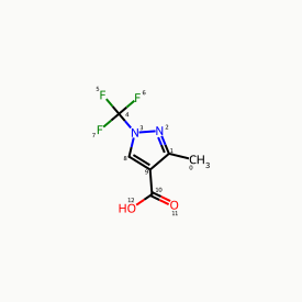 Cc1nn(C(F)(F)F)cc1C(=O)O